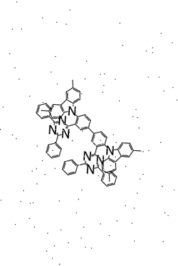 Cc1ccc2c(c1)c1cc(C)ccc1n2-c1ccc(-c2ccc(-n3c4ccc(C)cc4c4cc(C)ccc43)c(-c3nc(-c4ccccc4)nc(-c4ccccc4)n3)c2)cc1-c1nc(-c2ccccc2)nc(-c2ccccc2)n1